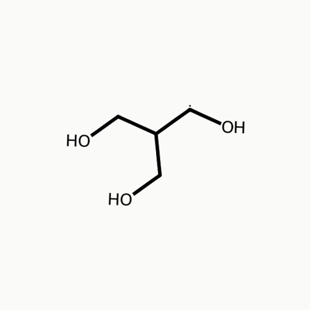 O[CH]C(CO)CO